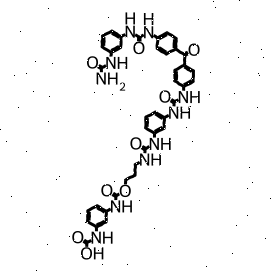 NC(=O)Nc1cccc(NC(=O)Nc2ccc(C(=O)c3ccc(NC(=O)Nc4cccc(NC(=O)NCCCOC(=O)Nc5cccc(NC(=O)O)c5)c4)cc3)cc2)c1